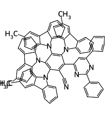 Cc1ccc2c(c1)c1ccccc1n2-c1c(C#N)c(-c2cc(-c3ccccc3)nc(-c3ccccc3)n2)c(-n2c3ccccc3c3cc(C)ccc32)c(-n2c3ccccc3c3cc(C)ccc32)c1-n1c2ccccc2c2cc(C)ccc21